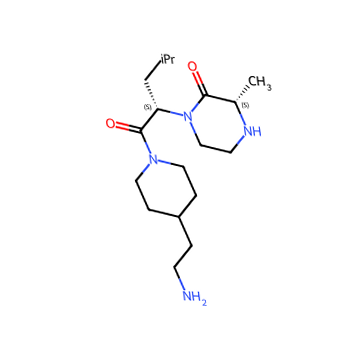 CC(C)C[C@@H](C(=O)N1CCC(CCN)CC1)N1CCN[C@@H](C)C1=O